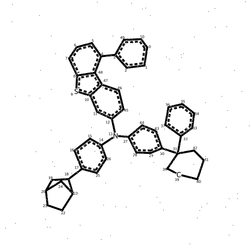 c1ccc(-c2cccc3sc4cc(N(c5ccc(C6CC7CCC6C7)cc5)c5ccc(C6(c7ccccc7)CCCCC6)cc5)ccc4c23)cc1